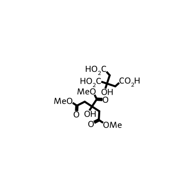 COC(=O)CC(O)(CC(=O)OC)C(=O)OC.O=C(O)CC(O)(CC(=O)O)C(=O)O